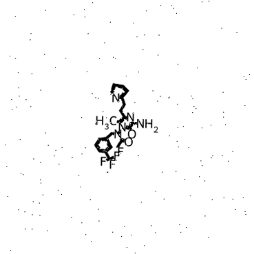 Cc1c(CCc2ccccn2)nc(N)c(=O)n1N(Cc1cccc(C(F)(F)F)c1)C(=O)CF